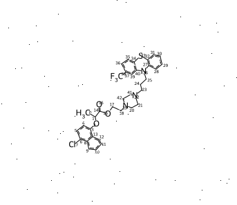 CC(Oc1ccc(Cl)c2ccccc12)C(=O)OCCN1CCN(CCCN2c3ccccc3Sc3ccc(C(F)(F)F)cc32)CC1